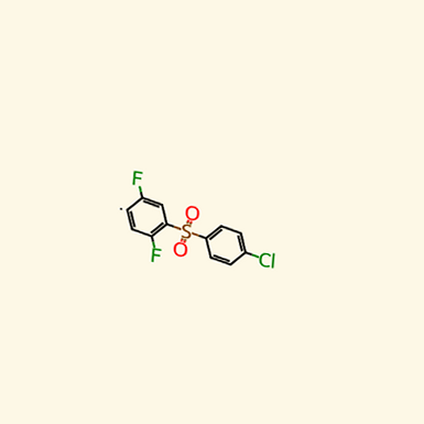 O=S(=O)(c1ccc(Cl)cc1)c1cc(F)[c]cc1F